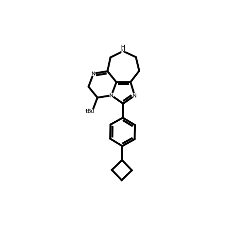 CC(C)(C)C1CN=C2CNCCc3nc(-c4ccc(C5CCC5)cc4)n1c32